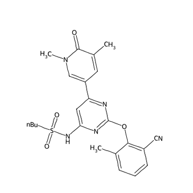 CCCCS(=O)(=O)Nc1cc(-c2cc(C)c(=O)n(C)c2)nc(Oc2c(C)cccc2C#N)n1